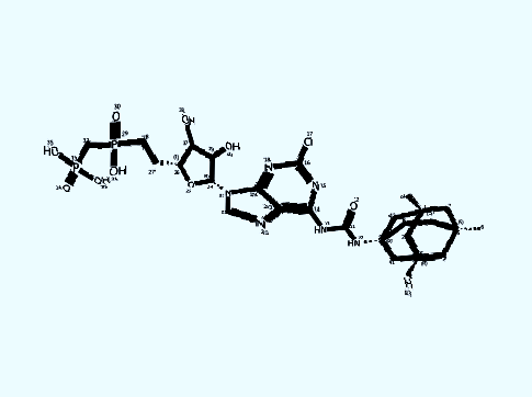 C[C@]12C[C@@H]3C[C@](C)(C1)C[C@@](NC(=O)Nc1nc(Cl)nc4c1ncn4[C@@H]1O[C@H](CCP(=O)(O)CP(=O)(O)O)C(O)C1O)(C3)C2